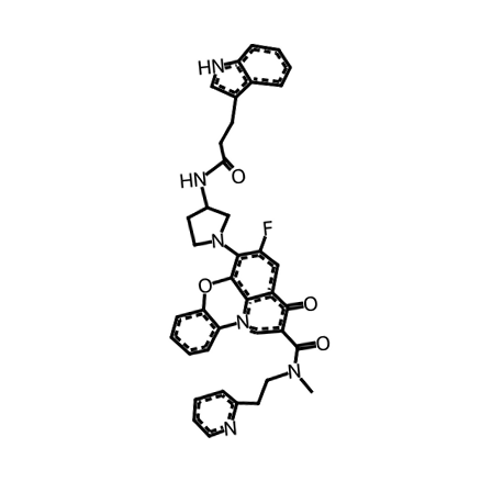 CN(CCc1ccccn1)C(=O)c1cn2c3c(c(N4CCC(NC(=O)CCc5c[nH]c6ccccc56)C4)c(F)cc3c1=O)Oc1ccccc1-2